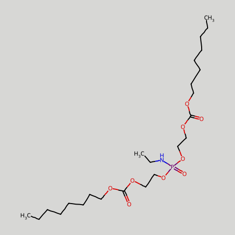 CCCCCCCCOC(=O)OCCOP(=O)(NCC)OCCOC(=O)OCCCCCCCC